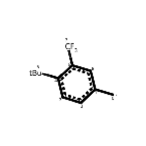 [CH2]c1ccc(C(C)(C)C)c(C(F)(F)F)c1